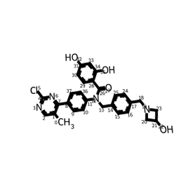 Cc1cnc(Cl)nc1-c1ccc(N(Cc2ccc(CN3CC(O)C3)cc2)C(=O)c2ccc(O)cc2O)cc1